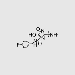 Cn1c(C(C)(C)[NH])nc(C(=O)NCc2ccc(F)cc2)c(O)c1=O